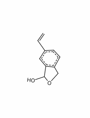 C=Cc1ccc2c(c1)C(O)OC2